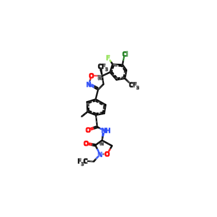 Cc1cc(C2=NO[C@@](c3cc(C(F)(F)F)cc(Cl)c3F)(C(F)(F)F)C2)ccc1C(=O)N[C@H]1CON(CC(F)(F)F)C1=O